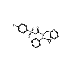 O=C(CS(=O)(=O)c1ccc(F)cc1)N(Cc1ccccn1)C(c1ccccc1)C1CC1